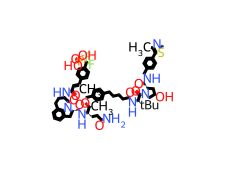 C/C(=C\C(=O)N[C@H]1CCc2cccc3c2N(C1=O)[C@H](C(=O)N[C@@H](CCC(N)=O)[C@@H](C)OCc1ccc(CCCCC(=O)N[C@H](C(=O)N2C[C@H](O)C[C@H]2C(=O)NCc2ccc(-c4scnc4C)cc2)C(C)(C)C)cc1)C3)c1ccc(C(F)(F)P(=O)(O)O)cc1